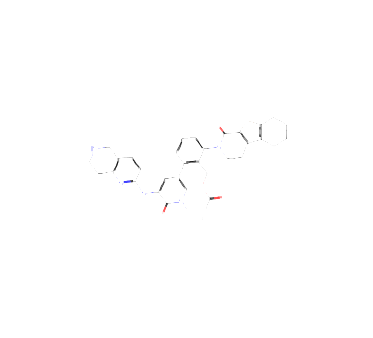 CC(=O)OCc1c(-c2cc(Nc3ccc4c(n3)CCNC4)c(=O)n(C)c2)cccc1N1CCc2c(sc3c2CCCC3)C1=O